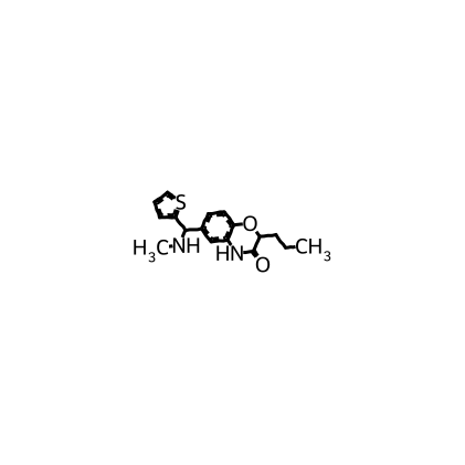 CCCC1Oc2ccc(C(NC)c3cccs3)cc2NC1=O